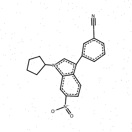 N#Cc1cccc(-c2cn(C3CCCC3)c3cc([N+](=O)[O-])ccc23)c1